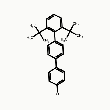 CC(C)(C)c1cccc(C(C)(C)C)c1-c1ccc(-c2ccc(O)cc2)cc1